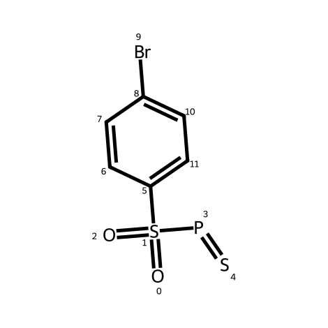 O=S(=O)(P=S)c1ccc(Br)cc1